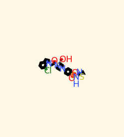 O=C(Cn1ccc2cccc(Cl)c21)N1CCN(c2ccc(S(=O)(=O)Nc3nccs3)cc2)C[C@H]1CO